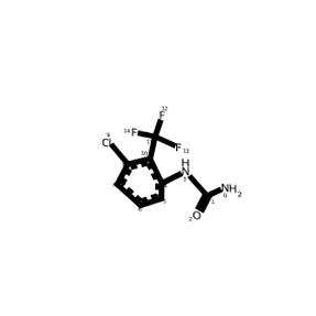 NC(=O)Nc1cccc(Cl)c1C(F)(F)F